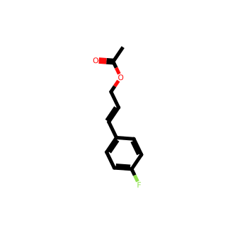 CC(=O)OC/C=C/c1ccc(F)cc1